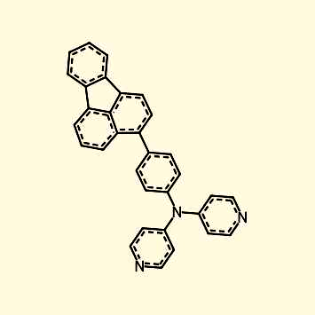 c1ccc2c(c1)-c1cccc3c(-c4ccc(N(c5ccncc5)c5ccncc5)cc4)ccc-2c13